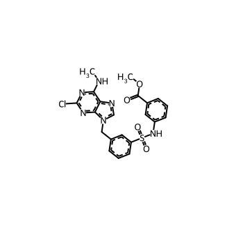 CNc1nc(Cl)nc2c1ncn2Cc1cccc(S(=O)(=O)Nc2cccc(C(=O)OC)c2)c1